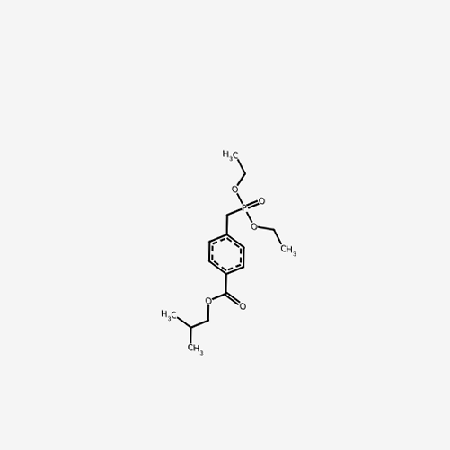 CCOP(=O)(Cc1ccc(C(=O)OCC(C)C)cc1)OCC